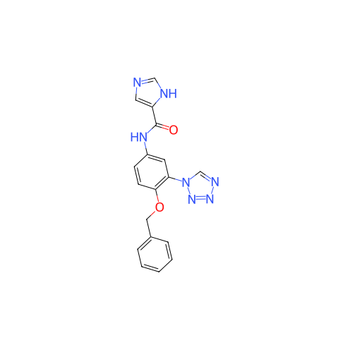 O=C(Nc1ccc(OCc2ccccc2)c(-n2cnnn2)c1)c1cnc[nH]1